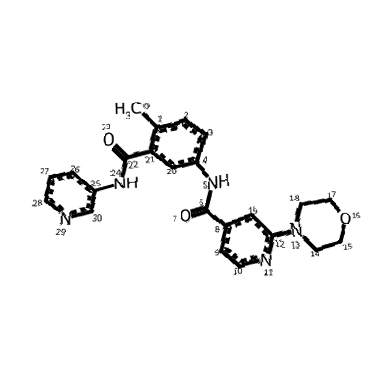 Cc1ccc(NC(=O)c2ccnc(N3CCOCC3)c2)cc1C(=O)Nc1cccnc1